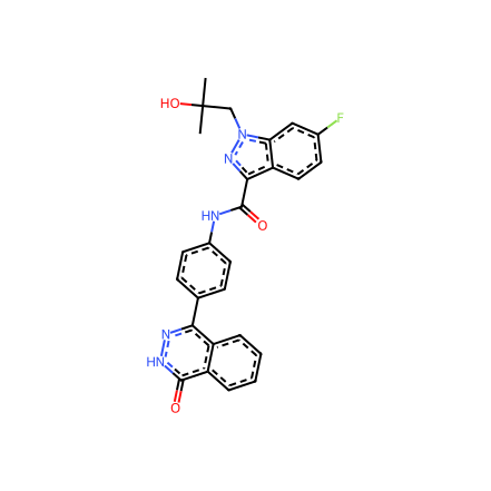 CC(C)(O)Cn1nc(C(=O)Nc2ccc(-c3n[nH]c(=O)c4ccccc34)cc2)c2ccc(F)cc21